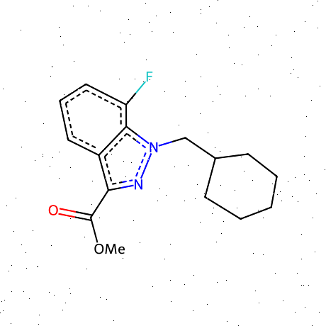 COC(=O)c1nn(CC2CCCCC2)c2c(F)cccc12